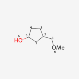 COCC1CCC(O)C1